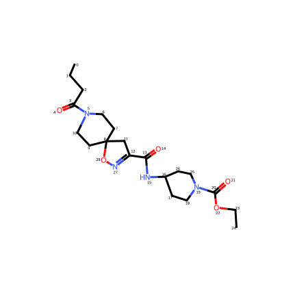 CCCC(=O)N1CCC2(CC1)CC(C(=O)NC1CCN(C(=O)OCC)CC1)=NO2